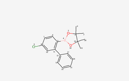 CC1(C)OB(c2ccc(Cl)cc2-c2ccccc2)OC1(C)C